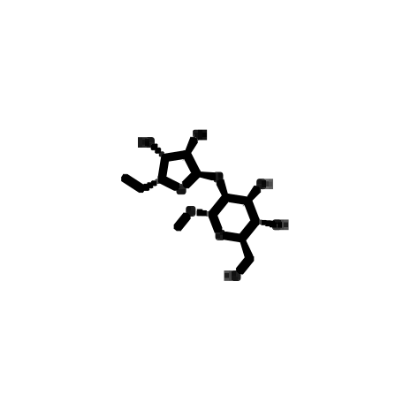 CC[C@H]1O[C@H](O[C@@H]2[C@@H](OC)O[C@H](CO)[C@@H](O)[C@@H]2O)[C@H](S)[C@H]1O